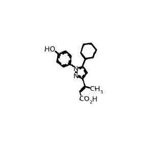 C/C(=C\C(=O)O)c1cc(C2CCCCC2)n(-c2ccc(O)cc2)n1